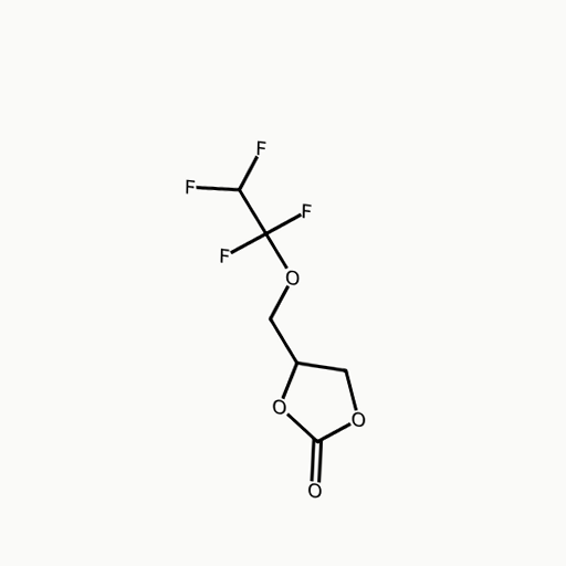 O=C1OCC(COC(F)(F)C(F)F)O1